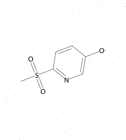 CS(=O)(=O)c1ccc([O])cn1